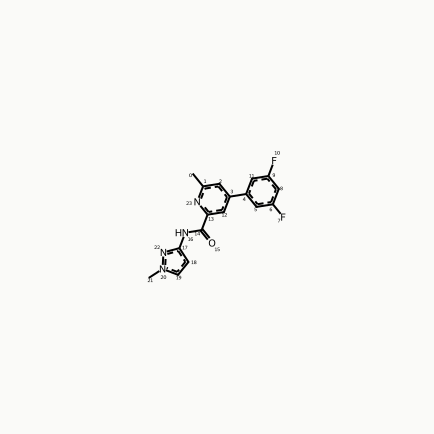 Cc1cc(-c2cc(F)cc(F)c2)cc(C(=O)Nc2ccn(C)n2)n1